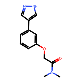 CN(C)C(=O)COc1[c]ccc(-c2cn[nH]c2)c1